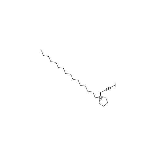 CCCCCCCCCCCCCCCC[N+]1(CC#CI)CCCC1